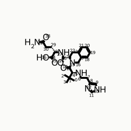 CC(C)(C)[C@H](NCCc1c[nH]cn1)C(=O)N1Cc2ccccc2C[C@H]1C(=O)N[C@@H](CCC(N)=O)C(=O)O